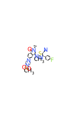 CN(c1nc(-c2ccc(F)cc2)c(C#N)s1)c1cn(C2CC2)c(=O)c2ccc(N3CCN(S(C)(=O)=O)CC3)cc12